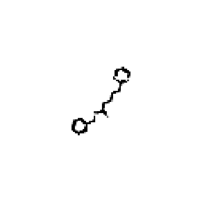 O=C(CCCCc1ncccn1)OCc1ccccc1